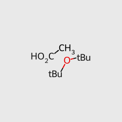 CC(=O)O.CC(C)(C)OC(C)(C)C